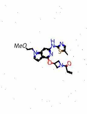 C=CC(=O)N1CC(Oc2nc(Nc3ncc(C)s3)cc3c2ccn3CCOC)C1